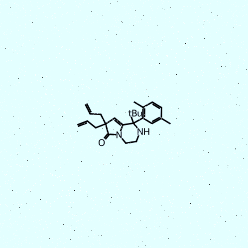 C=CCC1(CC=C)C=C2N(CCNC2(c2cc(C)ccc2C)C(C)(C)C)C1=O